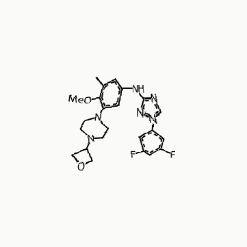 COc1c(C)cc(Nc2ncn(-c3cc(F)cc(F)c3)n2)cc1N1CCN(C2COC2)CC1